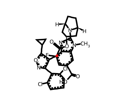 Cn1c(N2[C@@H]3CC[C@H]2C[C@H](OC(=O)Cc2c(-c4c(Cl)cccc4Cl)noc2C2CC2)C3)nc2c(F)cc(C(=O)O)cc21